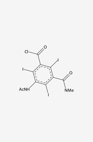 CNC(=O)c1c(I)c(NC(C)=O)c(I)c(C(=O)Cl)c1I